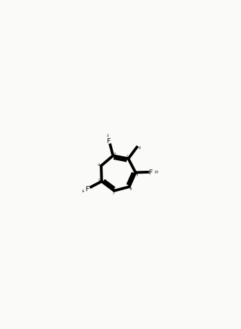 CC1=C(F)CC(F)=CC=C1F